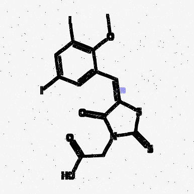 COc1c(I)cc(I)cc1/C=C1/SC(=S)N(CC(=O)O)C1=O